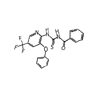 O=C(NC(=S)Nc1ncc(C(F)(F)F)cc1Oc1ccccc1)c1ccccc1